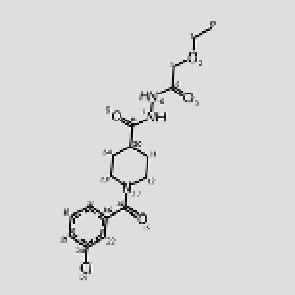 CCOCC(=O)NNC(=O)C1CCN(C(=O)c2cccc(Cl)c2)CC1